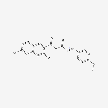 COc1ccc(/C=C/C(=O)CC(=O)c2cc3ccc(Cl)cc3sc2=O)cc1